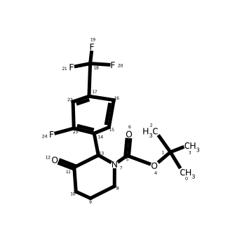 CC(C)(C)OC(=O)N1CCCC(=O)C1c1ccc(C(F)(F)F)cc1F